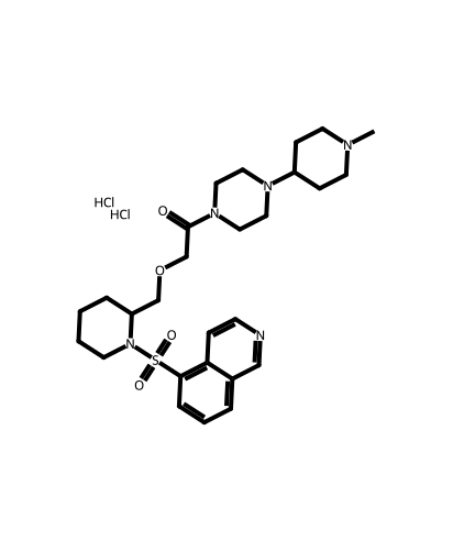 CN1CCC(N2CCN(C(=O)COCC3CCCCN3S(=O)(=O)c3cccc4cnccc34)CC2)CC1.Cl.Cl